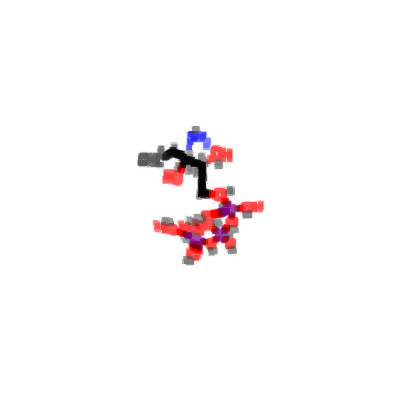 N[C@](O)(CC=O)[C@H](O)COP(=O)(O)OP(=O)(O)OP(=O)(O)O